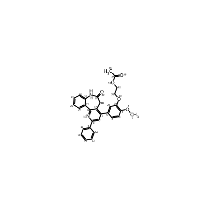 COc1ccc(-c2cc(-c3ccccc3)nc3c2CC(=O)Nc2ccccc2-3)cc1OCCOC(C)=O